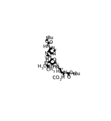 CC(C)(C)OC(=O)Nc1ncnc2c1ncn2[C@@H]1O[C@H](CNCCC(NC(=O)OC(C)(C)C)C(=O)O)[C@H]2OC(C)(C)O[C@H]21